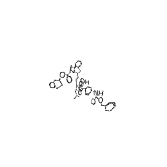 CC(C)CN(C[C@@H](O)[C@H](Cc1ccccc1)NC(=O)O[C@H]1CCOC1)S(=O)(=O)c1ccc(NC(=O)OCc2ccccc2)cc1